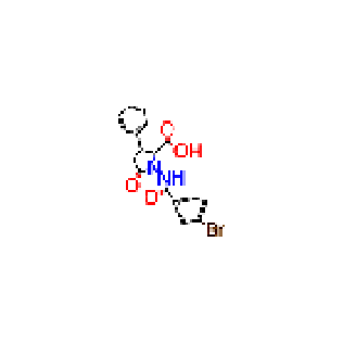 O=C(NN1C(=O)CC(c2ccccc2)C1C(=O)O)c1ccc(Br)cc1